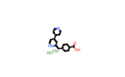 Cl.Cl.O=C(O)c1ccc(C=C2C=C(c3ccncc3)C=CN2)cc1